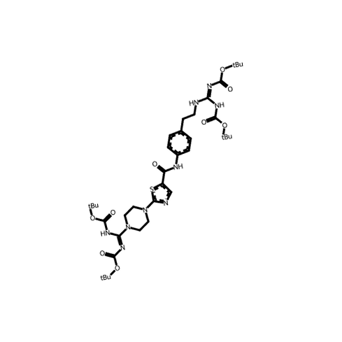 CC(C)(C)OC(=O)/N=C(/NCCc1ccc(NC(=O)c2cnc(N3CCN(/C(=N/C(=O)OC(C)(C)C)NC(=O)OC(C)(C)C)CC3)s2)cc1)NC(=O)OC(C)(C)C